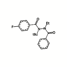 CCN(C(=O)c1ccccc1)N(C(=O)c1ccc(F)cc1)C(C)(C)C